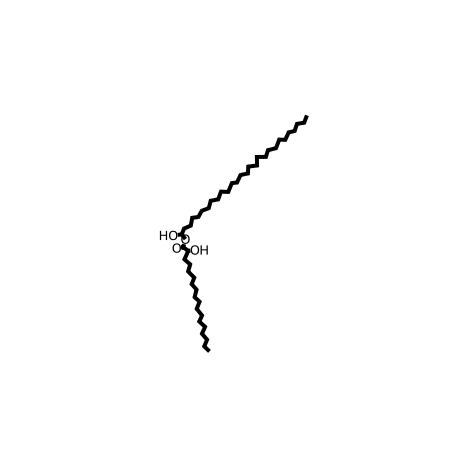 CCCCCCCCCCCCCCCCCCCCCCCCCCCC(O)OC(=O)C(O)CCCCCCCCCCCCCCCC